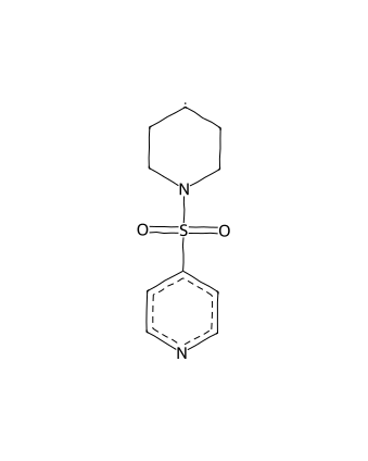 O=S(=O)(c1ccncc1)N1CC[CH]CC1